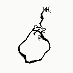 CC12CCCCCCCCCCCCC[C@]3(C)O[Si](CCCN)(O1)C23C